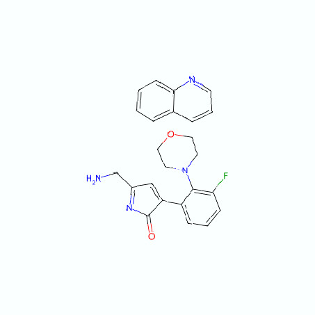 NCC1=NC(=O)C(c2cccc(F)c2N2CCOCC2)=C1.c1ccc2ncccc2c1